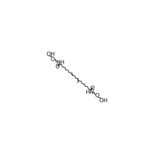 C/C(=C\CC/C=C/CCCCCCC(=O)NCCOCCO)CCCCCCC(=O)NCCOCCO